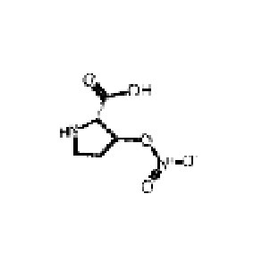 O=C(O)[C@H]1NCCC1O[N+](=O)[O-]